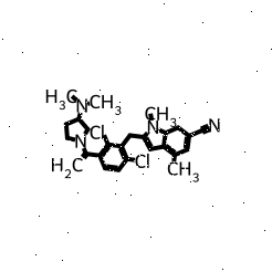 C=C(c1ccc(Cl)c(CC2=CC3=C(C)C=C(C#N)CC3N2C)c1Cl)N1CCC(N(C)C)C1